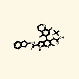 Cc1nc2c(cc(C(=O)NC3Cc4ccccc4C3)n2C)c(-c2cc(F)c3c(c2C)CCCO3)c1[C@H](OC(C)(C)C)C(=O)O